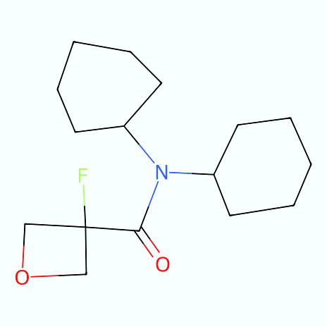 O=C(N(C1CCCCC1)C1CCCCC1)C1(F)COC1